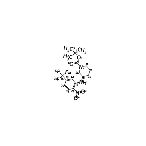 CC(C)(C)OC(=O)N1CCCC(Nc2cc(C(F)(F)F)ccc2[N+](=O)[O-])C1